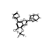 FC(F)(F)Oc1c(Cl)cc(-c2nccs2)c2oc(N3CC4CCC(C3)N4)nc12